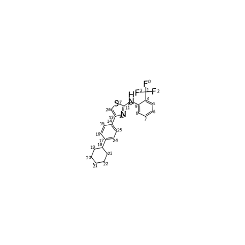 FC(F)(F)c1ccccc1Nc1nc(-c2ccc(C3CC[CH]CC3)cc2)cs1